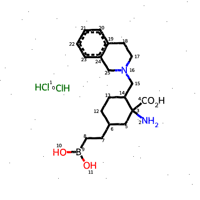 Cl.Cl.NC1(C(=O)O)CC(CCB(O)O)CCC1CN1CCc2ccccc2C1